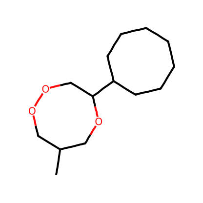 CC1COOCC(C2CCCCCCC2)OC1